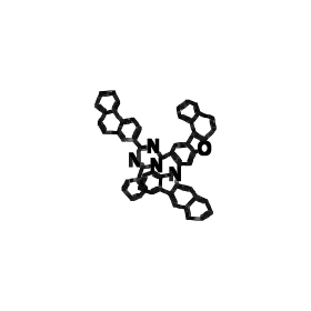 c1ccc(-c2nc(-c3ccc4c(ccc5ccccc54)c3)nc(-c3cc4c(cc3-n3c5ccccc5c5cc6ccccc6cc53)oc3ccc5ccccc5c34)n2)cc1